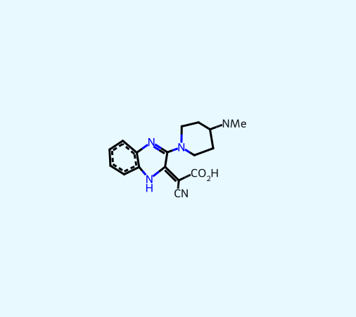 CNC1CCN(C2=Nc3ccccc3NC2=C(C#N)C(=O)O)CC1